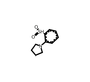 O=[SH](=O)c1ccccc1N1C[CH]CC1